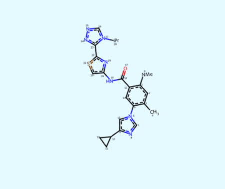 CNc1cc(C)c(-n2cnc(C3CC3)c2)cc1C(=O)Nc1csc(-c2nncn2C(C)C)n1